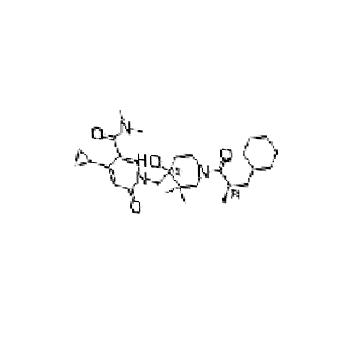 C[C@H](CC1CCCCC1)C(=O)N1CC[C@@](O)(Cn2cc(C(=O)N(C)C)c(C3CC3)cc2=O)C(C)(C)C1